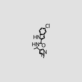 CC(NC(=O)c1cc2cc(Cl)ccc2[nH]1)c1cnn(C)c1